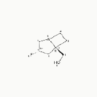 OC[C@]12CCN1C[C@@H](F)C2